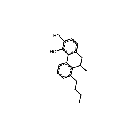 CCCCc1cccc2c1[C@H](C)Cc1ccc(O)c(O)c1-2